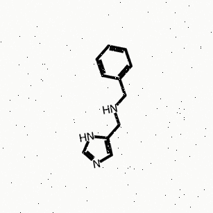 c1ccc(CNCc2cnc[nH]2)cc1